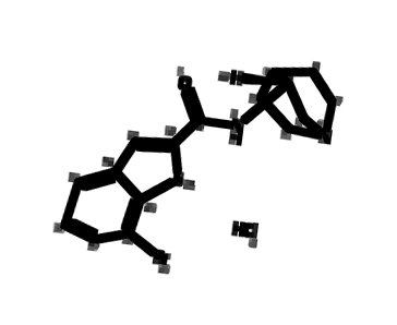 Cl.O=C(N[C@H]1CN2CCC1CC2)c1cc2cccc(Br)c2s1